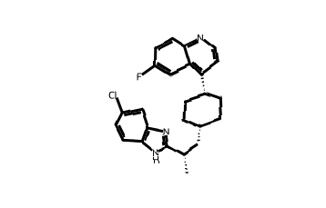 C[C@@H](C[C@H]1CC[C@@H](c2ccnc3ccc(F)cc32)CC1)c1nc2cc(Cl)ccc2[nH]1